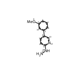 COc1cccc(-c2ccc(NN)nc2)c1